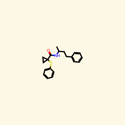 CC(CCc1ccccc1)NC(=O)C1(Sc2ccccc2)CC1